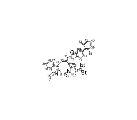 C=CC1=NC2CC(=C)[n+]3ccc(C(CC)CC)cc3-c3cc4c(cc3CCC2c2ccccc21)oc1nc(-c2c(C)cccc2C)ccc14